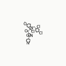 COc1ccc2c(c1)c(C(=O)c1cnc(-c3ccncc3)o1)c(Cl)n2Cc1ccc(Cl)cc1Cl